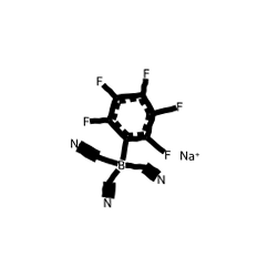 N#C[B-](C#N)(C#N)c1c(F)c(F)c(F)c(F)c1F.[Na+]